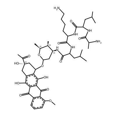 COc1cccc2c1C(=O)c1c(O)c3c(c(O)c1C2=O)C[C@@](O)(C(C)=O)CC3OC1C[C@H](NC(=O)C(CC(C)C)NC(=O)C(CCCCN)NC(=O)C(CC(C)C)NC(=O)C(C)N)[C@H](C)[C@H](C)O1